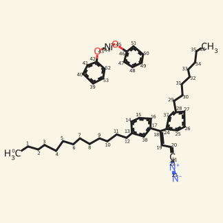 CCCCCCCCCCCCCc1cccc(C(=CC=C=[N+]=[N-])c2cccc(CCCCCCCC)c2)c1.c1ccc([O][Ni][O]c2ccccc2)cc1